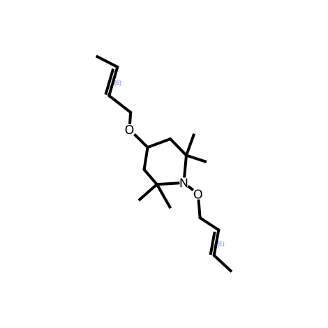 C/C=C/COC1CC(C)(C)N(OC/C=C/C)C(C)(C)C1